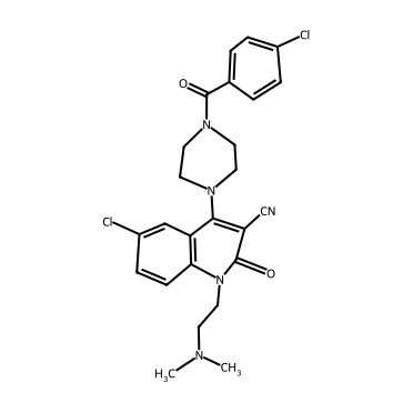 CN(C)CCn1c(=O)c(C#N)c(N2CCN(C(=O)c3ccc(Cl)cc3)CC2)c2cc(Cl)ccc21